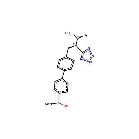 CCC[C@H](C(=O)O)[C@H](Cc1ccc(-c2ccc(C(O)NC)cc2)cc1)c1nn[nH]n1